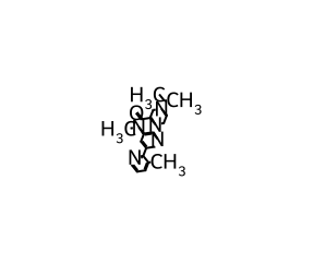 Cc1cccnc1-c1cnc2c(c1)N(C)C(=O)C1CN(C(C)C)CCN21